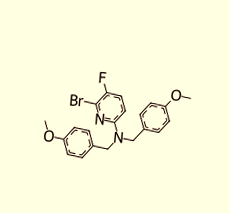 COc1ccc(CN(Cc2ccc(OC)cc2)c2ccc(F)c(Br)n2)cc1